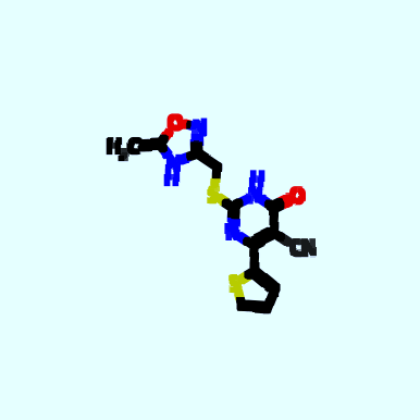 C=C1NC(CSc2nc(-c3cccs3)c(C#N)c(=O)[nH]2)=NO1